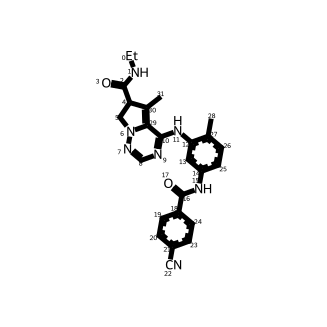 CCNC(=O)C1CN2N=CN=C(Nc3cc(NC(=O)c4ccc(C#N)cc4)ccc3C)C2=C1C